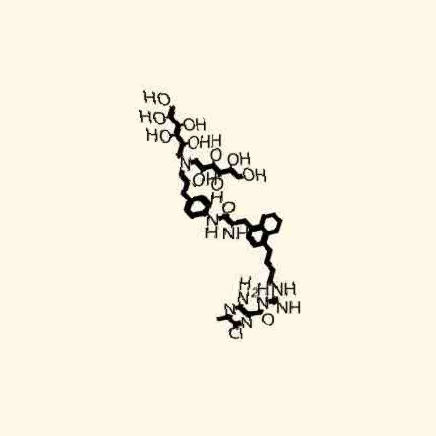 Cc1nc(N)c(C(=O)NC(=N)NCCCCc2ccc(C[C@H](N)C(=O)Nc3ccc(CCCN(C[C@H](O)[C@@H](O)[C@H](O)[C@H](O)CO)C[C@H](O)[C@@H](O)[C@H](O)[C@H](O)CO)cc3)c3c2CCCC3)nc1Cl